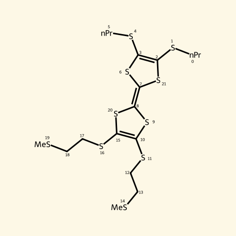 CCCSC1=C(SCCC)SC(=C2SC(SCCSC)=C(SCCSC)S2)S1